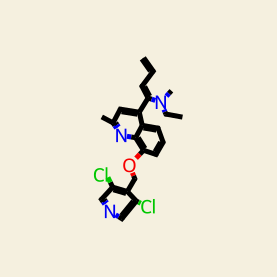 C=C/C=C(/c1cc(C)nc2c(OCc3c(Cl)cncc3Cl)cccc12)N(C)CC